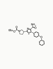 CC(C)(C)OC(=O)N1CCC(c2nc(C(N)=O)c(-c3ccc(Oc4ccccc4)cc3)s2)C1